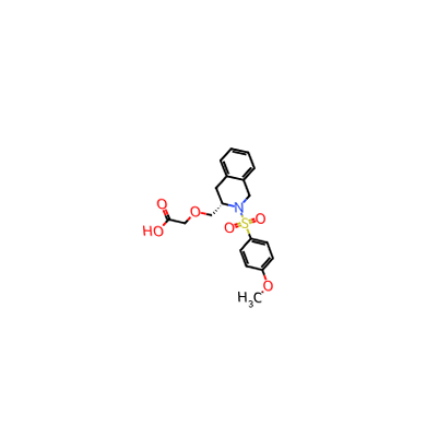 COc1ccc(S(=O)(=O)N2Cc3ccccc3C[C@H]2COCC(=O)O)cc1